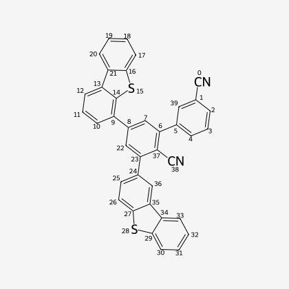 N#Cc1cccc(-c2cc(-c3cccc4c3sc3ccccc34)cc(-c3ccc4sc5ccccc5c4c3)c2C#N)c1